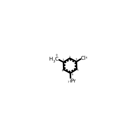 Cc1cc(Cl)cc(C(C)C)c1